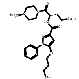 CCOC(=O)N1CCN(C(=O)[C@H](CCC(=O)O)NC(=O)c2cc(OCCCSC)n(-c3ccccc3)n2)CC1